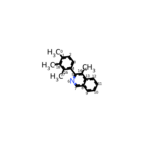 Cc1ccc(-c2ncc3ccccc3c2C)c(C)c1C